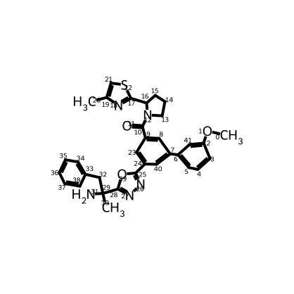 COc1cccc(-c2cc(C(=O)N3CCCC3c3nc(C)cs3)cc(-c3nnc(C(C)(N)Cc4ccccc4)o3)c2)c1